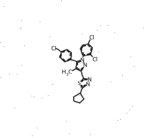 Cc1c(-c2nnc(C3CCCC3)s2)nn(-c2ccc(Cl)cc2Cl)c1-c1ccc(Cl)cc1